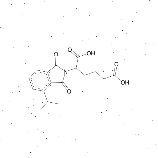 CC(C)c1cccc2c1C(=O)N(C(CCCC(=O)O)C(=O)O)C2=O